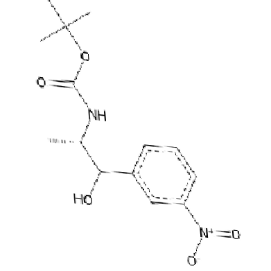 C[C@H](NC(=O)OC(C)(C)C)C(O)c1cccc([N+](=O)[O-])c1